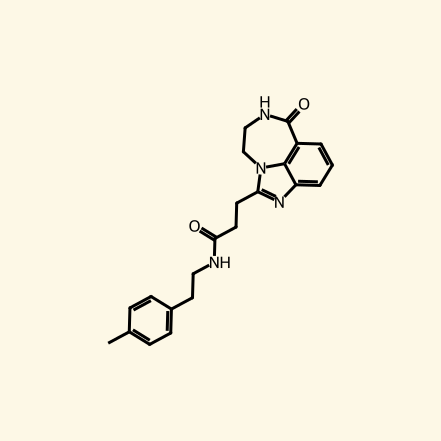 Cc1ccc(CCNC(=O)CCc2nc3cccc4c3n2CCNC4=O)cc1